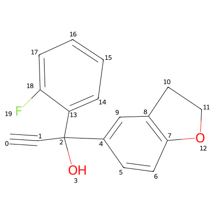 C#CC(O)(c1ccc2c(c1)CCO2)c1ccccc1F